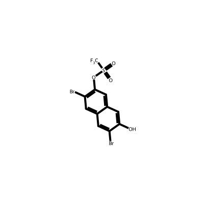 O=S(=O)(Oc1cc2cc(O)c(Br)cc2cc1Br)C(F)(F)F